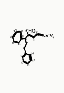 C=C=CC=C(C=O)C(CCc1ccccc1)c1ccccc1